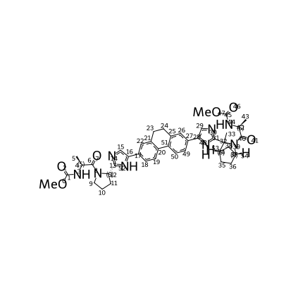 COC(=O)N[C@@H](C)C(=O)N1CCC[C@H]1c1ncc(-c2ccc3c(c2)CCc2cc(-c4cnc(C5(C)[C@H]6CC[C@H](C6)N5C(=O)[C@H](C)NC(=O)OC)[nH]4)ccc2-3)[nH]1